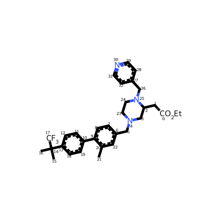 CCOC(=O)CC1CN(Cc2ccc(-c3ccc(C(C)(C)C(F)(F)F)cc3)c(C)c2)CCN1Cc1ccncc1